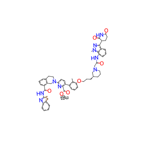 Cc1c(OCCC[C@@H]2CCCN(CC(=O)Nc3cccc4c(C5CCC(=O)NC5=O)nn(C)c34)C2)cccc1-c1ccc(N2CCc3cccc(C(=O)Nc4nc5ccccc5s4)c3C2)nc1C(=O)OC(C)(C)C